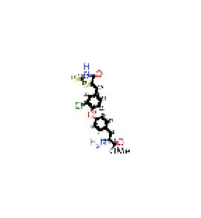 COC(=O)[C@@H](N)Cc1ccc(Oc2ccc(/C=C3\SC(=S)NC3=O)cc2Cl)cc1